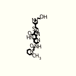 C[C@H]1CCCCN1CC(=O)Nc1cnc2c(c1)[nH]c(=O)c1c2nn2cc(-c3cnn(CCO)c3)sc12